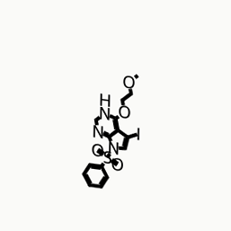 COCCOC1=c2c(I)cn(S(=O)(=O)c3ccccc3)c2=NCN1